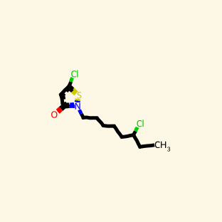 CCC(Cl)CCCCCn1sc(Cl)cc1=O